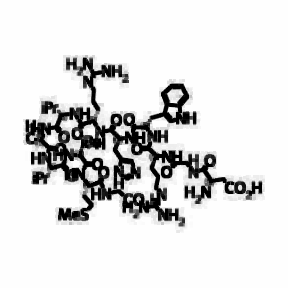 CC[C@H](C)[C@H](NC(=O)[C@@H](NC(=O)[C@H](C)NC(=O)[C@@H](NC(=O)[C@H](CCCN=C(N)N)NC(=O)[C@H](Cc1cnc[nH]1)NC(=O)[C@H](Cc1c[nH]c2ccccc12)NC(=O)[C@H](CCCN=C(N)N)NC(=O)CNC(=O)[C@@H](N)CC(=O)O)C(C)C)C(C)C)C(=O)N[C@@H](CCSC)C(=O)NCC(=O)O